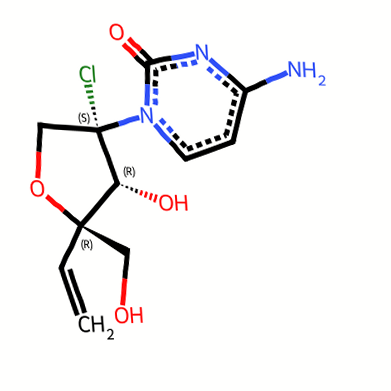 C=C[C@]1(CO)OC[C@@](Cl)(n2ccc(N)nc2=O)[C@@H]1O